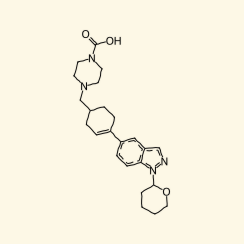 O=C(O)N1CCN(CC2CC=C(c3ccc4c(cnn4C4CCCCO4)c3)CC2)CC1